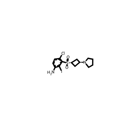 Nc1ccc(Cl)c(S(=O)(=O)[C@H]2C[C@H](N3CCCC3)C2)c1I